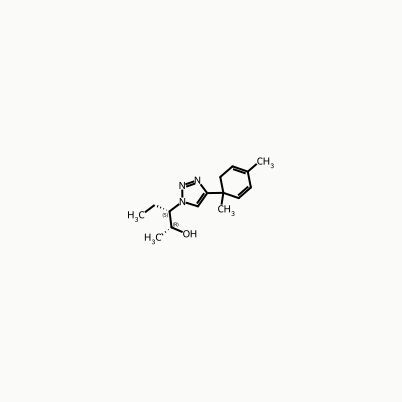 CC[C@@H]([C@@H](C)O)n1cc(C2(C)C=CC(C)=CC2)nn1